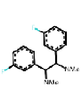 CNC(c1cccc(F)c1)C(NC)c1cccc(F)c1